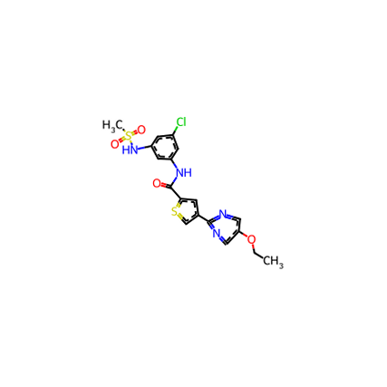 CCOc1cnc(-c2csc(C(=O)Nc3cc(Cl)cc(NS(C)(=O)=O)c3)c2)nc1